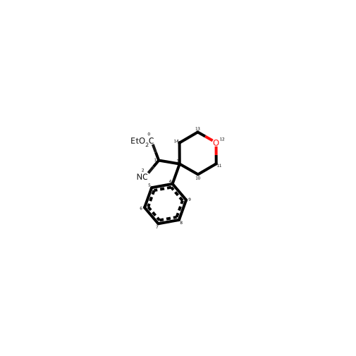 CCOC(=O)C(C#N)C1(c2ccccc2)CCOCC1